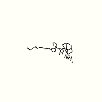 CCCCCCCOC(=O)NC12CC3CC(CC(N)(C3)C1)C2